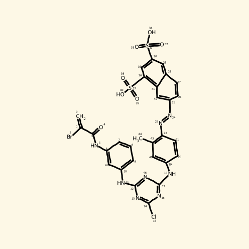 C=C(Br)C(=O)Nc1cccc(Nc2nc(Cl)nc(Nc3ccc(N=Nc4ccc5cc(S(=O)(=O)O)cc(S(=O)(=O)O)c5c4)c(C)c3)n2)c1